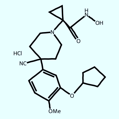 COc1ccc(C2(C#N)CCN(C3(C(=O)NO)CC3)CC2)cc1OC1CCCC1.Cl